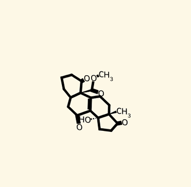 COC(=O)[C@]12C(=O)CCCC1CC(=O)C1=C2CC[C@]2(C)C(=O)CC[C@@]12O